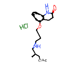 CC(=O)OCC(C)CNCCCOc1cccc2c1CCC(=O)N2.Cl